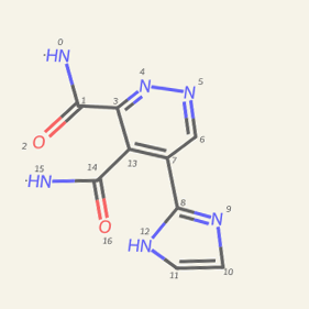 [NH]C(=O)c1nncc(-c2ncc[nH]2)c1C([NH])=O